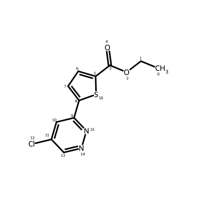 CCOC(=O)c1ccc(-c2cc(Cl)cnn2)s1